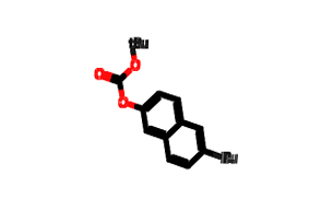 CCC(C)c1ccc2cc(OC(=O)OC(C)(C)C)ccc2c1